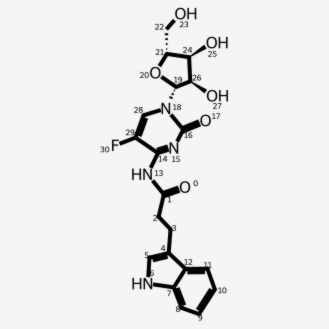 O=C(CCc1c[nH]c2ccccc12)Nc1nc(=O)n([C@@H]2O[C@H](CO)[C@@H](O)[C@H]2O)cc1F